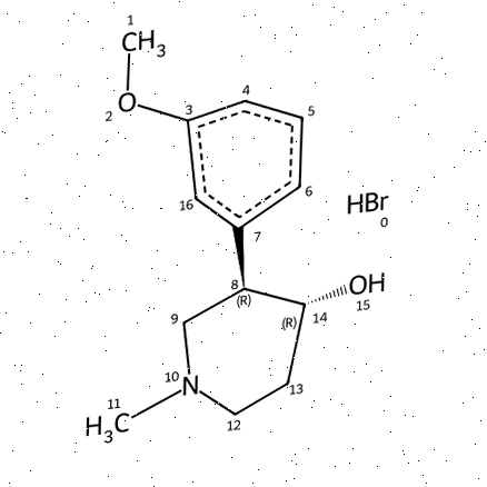 Br.COc1cccc([C@@H]2CN(C)CC[C@H]2O)c1